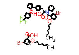 CCCCCCCOc1ccc(Br)cc1C(=O)N(c1ccccc1)[C@@H](Cc1ccc(-c2ccccc2Oc2ccc(C(F)(F)F)cc2)cc1)C(=O)O.CCCCCCCOc1ccc(Br)cc1C(=O)O